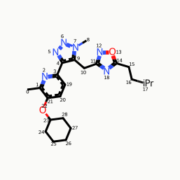 Cc1nc(-c2nnn(C)c2Cc2noc(CCC(C)C)n2)ccc1OC1CCCCC1